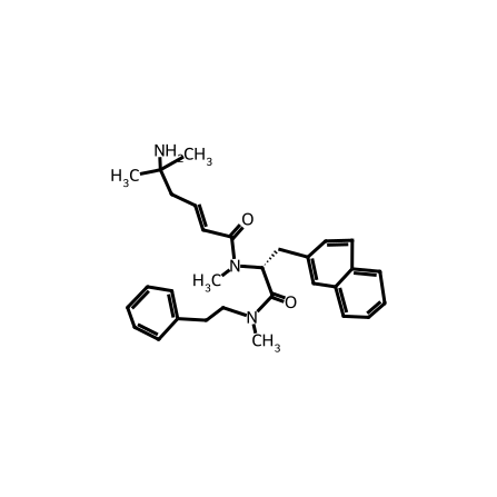 CN(CCc1ccccc1)C(=O)[C@@H](Cc1ccc2ccccc2c1)N(C)C(=O)C=CCC(C)(C)N